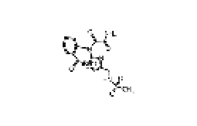 CCCCCC(=O)c1ccccc1N(C(=O)C(N)=O)c1nc(CNS(C)(=O)=O)cs1